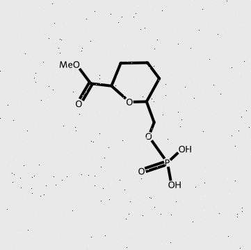 COC(=O)C1CCCC(COP(=O)(O)O)O1